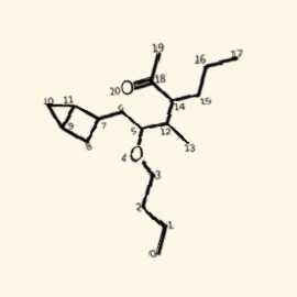 CCCCOC(CC1CC2CC12)C(C)C(CCC)C(C)=O